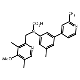 COc1c(C)cnc(CN(C(=O)O)c2cc(C)cc(-c3ccnc(C(F)(F)F)c3)c2)c1C